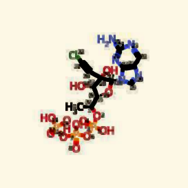 C[C@H](OP(=O)(O)OP(=O)(O)OP(=O)(O)O)[C@H]1O[C@@H](n2cnc3cnc(N)nc32)C(O)(C#CCl)[C@H]1O